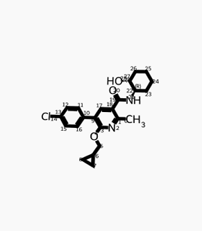 Cc1nc(OCC2CC2)c(-c2ccc(Cl)cc2)cc1C(=O)N[C@@H]1CCCC[C@H]1O